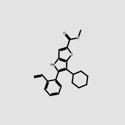 C=Cc1ccccc1-c1[nH]c2cc(C(=O)OC)sc2c1C1CCCCC1